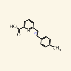 Cc1ccc(/C=C/c2cccc(C(=O)O)n2)cc1